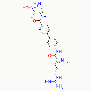 N=C(N)NCCC[C@H](N)C(=O)Nc1ccc(-c2ccc(C(=O)N[C@@H](CN)C(=O)NO)cc2)cc1